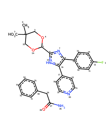 CC1(C(=O)O)COC(c2nc(-c3ccc(F)cc3)c(-c3ccncc3)[nH]2)OC1.NC(=O)Cc1ccccc1